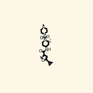 C[C@@H]1C[C@H](NC(=O)c2cc(C3CC3)on2)CCN1S(=O)(=O)N1CCN(C)CC1